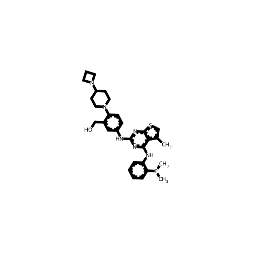 Cc1csc2nc(Nc3ccc(N4CCC(N5CCC5)CC4)c(CO)c3)nc(Nc3ccccc3P(C)C)c12